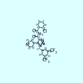 CN(C(=O)c1ccccc1Cl)C(=O)c1nnn(Cc2cc(C(F)(F)F)cc(C(F)(F)F)c2)c1-c1ccncc1